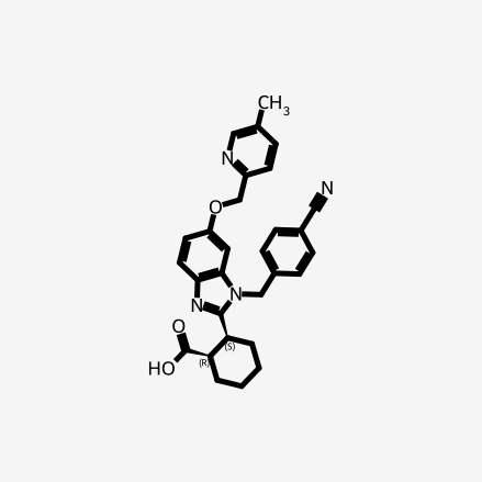 Cc1ccc(COc2ccc3nc([C@H]4CCCC[C@H]4C(=O)O)n(Cc4ccc(C#N)cc4)c3c2)nc1